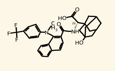 CN(c1ccc(C(F)(F)F)cc1)c1c(C(=O)N[C@H](C(=O)O)C23CC4CC(CC(O)(C4)C2)C3)ccc2ccccc12